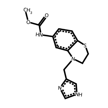 COC(=O)Nc1ccc2c(c1)N(Cc1c[nH]cn1)CCS2